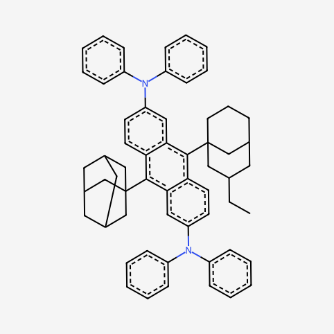 CCC1CC2CCCC(c3c4cc(N(c5ccccc5)c5ccccc5)ccc4c(C45CC6CC(CC(C6)C4)C5)c4cc(N(c5ccccc5)c5ccccc5)ccc34)(C1)C2